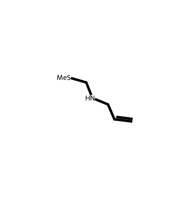 C=CCNCSC